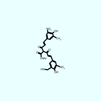 COC(=O)C(C(=O)/C=C/c1cc(C)c(O)c([N+](=O)[O-])c1)C(=O)/C=C/c1cc(CO)c(O)c([N+](=O)[O-])c1